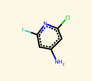 Nc1cc(F)nc(Cl)c1